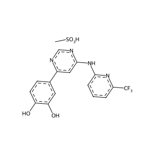 CS(=O)(=O)O.Oc1ccc(-c2cc(Nc3cccc(C(F)(F)F)n3)ncn2)cc1O